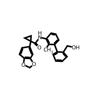 Cc1c(NC(=O)C2(c3ccc4c(c3)OCO4)CC2)cccc1-c1ccccc1CO